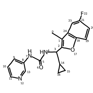 Cc1c(C(NC(=O)Nc2cccnc2)C2CC2)oc2ccc(F)cc12